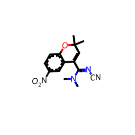 CN(C)C(=NC#N)C1=CC(C)(C)Oc2ccc([N+](=O)[O-])cc21